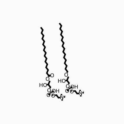 CCCCCCCCCCCCCCCCCC(=O)OCC(O)COP(=O)(O)OCC[N+](C)(C)C.CCCCCCCCCCCCCCCCCCOCC(O)COP(=O)(O)OCC[N+](C)(C)C